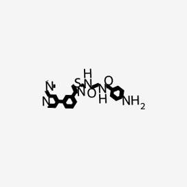 CN(C)Cc1cc(-c2cccc(-c3csc(NC(=O)CNC(=O)c4ccc(N)cc4)n3)c2)ccn1